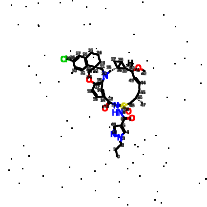 CCCn1cc(C(=O)N[S@@]2(=O)=NC(=O)c3ccc4c(c3)N(C[C@@]3(CCCc5cc(Cl)ccc53)CO4)C[C@]34CC3[C@H]4[C@@H](OC)/C=C/C[C@H](C)C2)cn1